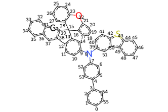 c1ccc(-c2ccc(N(c3ccc4c(c3)C3(c5ccccc5Oc5ccccc53)c3cc5ccccc5cc3-4)c3ccc4sc5ccccc5c4c3)cc2)cc1